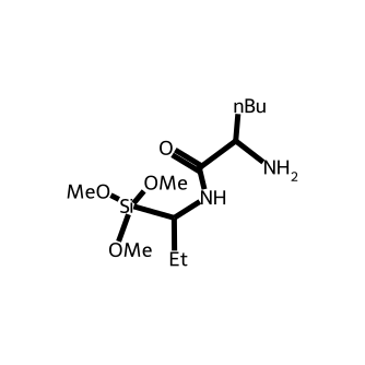 CCCCC(N)C(=O)NC(CC)[Si](OC)(OC)OC